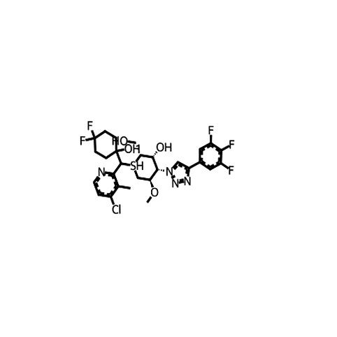 CO[C@H]1C[SH](C(c2nccc(Cl)c2C)C2(O)CCC(F)(F)CC2)[C@H](CO)[C@H](O)[C@@H]1n1cc(-c2cc(F)c(F)c(F)c2)nn1